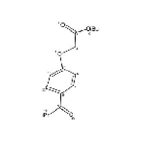 CC(C)COC(=O)COc1ccc(C(=O)C(C)C)cc1